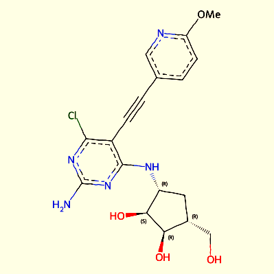 COc1ccc(C#Cc2c(Cl)nc(N)nc2N[C@@H]2C[C@H](CO)[C@@H](O)[C@H]2O)cn1